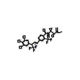 CCNC(=O)C1(NC(=O)c2ccc(/C=C/C(c3cc(Cl)c(Cl)c(Cl)c3)C(F)(F)F)cc2C(F)(F)F)CC1